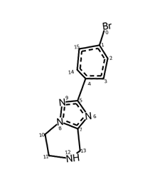 Brc1ccc(-c2nc3n(n2)CCNC3)cc1